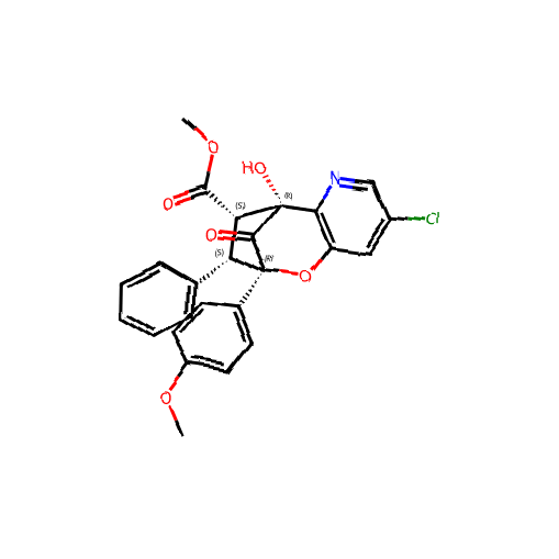 COC(=O)[C@H]1[C@@H](c2ccccc2)[C@]2(c3ccc(OC)cc3)Oc3cc(Cl)cnc3[C@@]1(O)C2=O